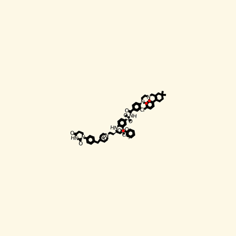 CC1(C)CCC(c2ccc(Cl)cc2)=C(CN2CCN(c3ccc(C(=O)NS(=O)(=O)c4ccc(N[C@H](CCN5CC6CCC5CN6Cc5ccc(N6CCC(=O)NC6=O)cc5)CSc5ccccc5)c(S(=O)(=O)C(F)(F)F)c4)cc3)CC2)C1